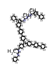 C=CC(/C=C/C=C(\C=C)c1ccc(-c2ccccc2)s1)=C\c1cn(C2C=CC=CC2)c2ccc(-c3ccc(-c4ccc(N(C5=CCC(c6ccc(-c7ccccc7)cc6)C=C5)c5ccc(/C(C=C)=C/C=C/c6ccccc6)cc5)cc4)cc3)cc12